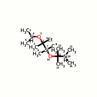 CCC(C)(O[SiH](C)C)[Si](C)(C)OC(C)(C)[SiH](C)C